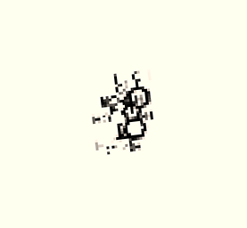 C=C1C[C@]23C[C@@]1(O)CC[C@H]2[C@@]12C=C[C@H](O)[C@](C)(C(O)O1)[C@H]2[C@@H]3C(=O)O